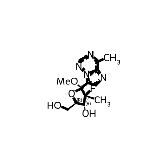 CO[C@@]1(c2cnc3c(C)ncnn23)O[C@H](CO)[C@@H](O)[C@@]1(C)F